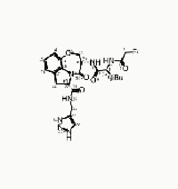 CC[C@H](C)[C@H](NC(=O)CF)C(=O)N[C@H]1COc2cccc3c2N(C1=O)[C@H](C(=O)NCc1c[nH]nn1)C3